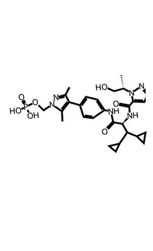 Cc1nn(COP(=O)(O)O)c(C)c1-c1ccc(NC(=O)[C@@H](NC(=O)c2ccnn2[C@@H](C)CO)C(C2CC2)C2CC2)cc1